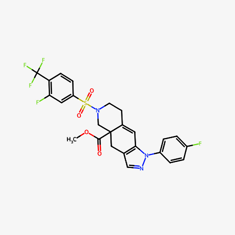 COC(=O)C12Cc3cnn(-c4ccc(F)cc4)c3C=C1CCN(S(=O)(=O)c1ccc(C(F)(F)F)c(F)c1)C2